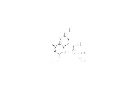 CCSc1cc(=O)c2cc(C)cc(C(C)N[S+]([O-])C(C)(C)C)c2o1